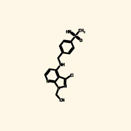 CS(=N)(=O)c1ccc(CNc2ccnc3c2c(Cl)nn3CC#N)cc1